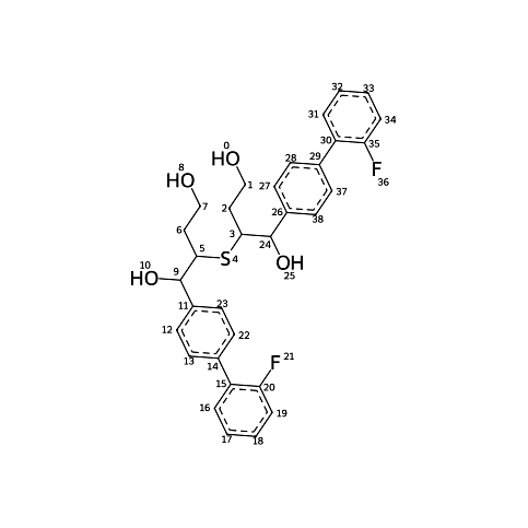 OCCC(SC(CCO)C(O)c1ccc(-c2ccccc2F)cc1)C(O)c1ccc(-c2ccccc2F)cc1